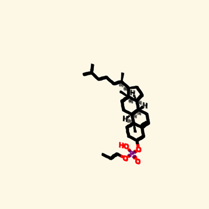 CCCOP(=O)(O)OC1CC[C@@]2(C)C(=CC[C@H]3[C@@H]4CC[C@H]([C@H](C)CCCC(C)C)[C@@]4(C)CC[C@@H]32)C1